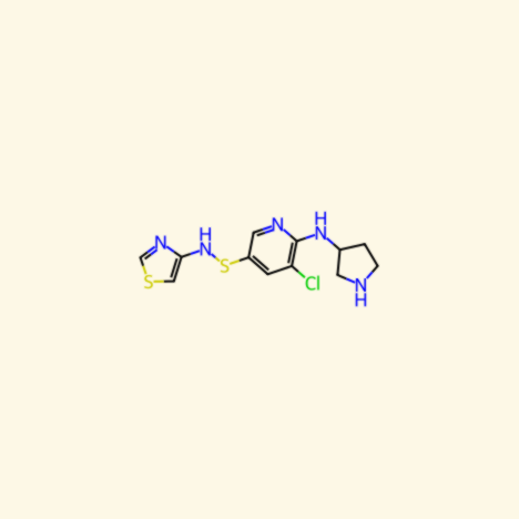 Clc1cc(SNc2cscn2)cnc1NC1CCNC1